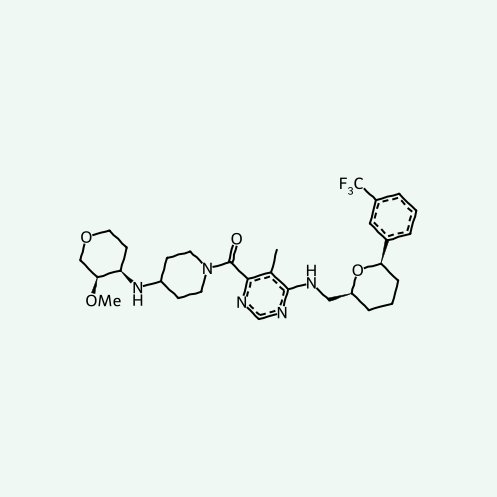 CO[C@H]1COCC[C@H]1NC1CCN(C(=O)c2ncnc(NC[C@@H]3CCC[C@H](c4cccc(C(F)(F)F)c4)O3)c2C)CC1